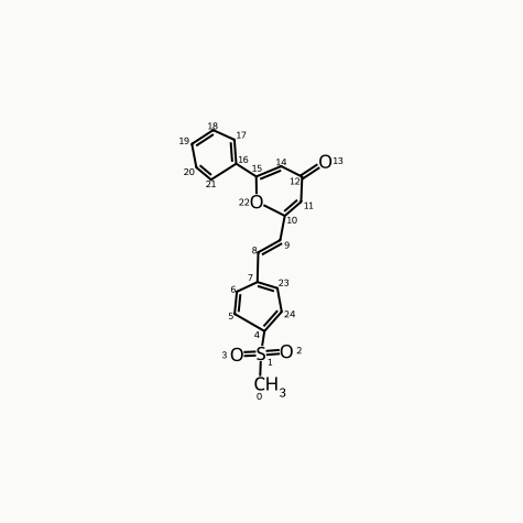 CS(=O)(=O)c1ccc(C=Cc2cc(=O)cc(-c3ccccc3)o2)cc1